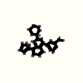 COc1cncc(-c2cc(N3CCOCC3)nc3c(-c4ccn[nH]4)nccc23)c1